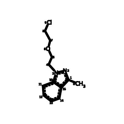 Cc1nn(CCOCCCl)c2ccccc12